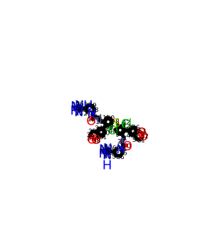 O=C(/C=C/c1ccc(Sc2ccc(/C=C/C(=O)N3CCCC(c4nnn[nH]4)C3)c(-c3ccc4c(c3)CCOO4)c2Cl)c(Cl)c1-c1ccc2c(c1)CCOO2)N1CCCC(c2nnn[nH]2)C1